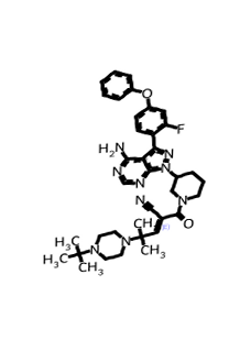 CC(C)(C)N1CCN(C(C)(C)/C=C(\C#N)C(=O)N2CCCC(n3nc(-c4ccc(Oc5ccccc5)cc4F)c4c(N)ncnc43)C2)CC1